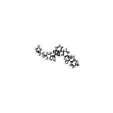 O=C(Nc1ccc(-c2cccc3nc(Nc4ccc(OCCN5CCCC5)cc4)nn23)cc1)c1ccncc1